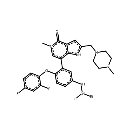 CC[S+]([O-])Nc1ccc(Oc2ccc(F)cc2F)c(-c2cn(C)c(=O)c3cc(CN4CCN(C)CC4)[nH]c23)c1